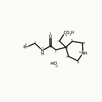 CC(C)CNC(=O)CC1(CC(=O)O)CCNCC1.Cl